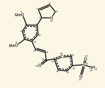 COc1cc(OC)c(C2C=CCO2)cc1/C=C/C(=O)c1ccc(S(N)(=O)=O)cc1